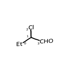 [CH2]CC(Cl)C=O